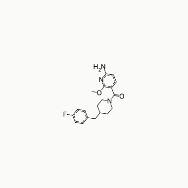 COc1nc(N)ccc1C(=O)N1CCC(Cc2ccc(F)cc2)CC1